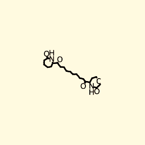 O=C1CCCCC(C(=O)CCCCCCCCC(=O)C2CCCCC(=O)N2)N1